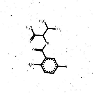 CC(C)C(NC(=O)c1cc(I)ccc1N)C(N)=O